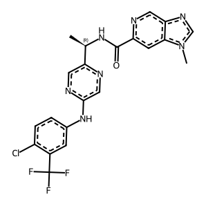 C[C@@H](NC(=O)c1cc2c(cn1)ncn2C)c1cnc(Nc2ccc(Cl)c(C(F)(F)F)c2)cn1